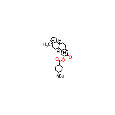 CCCCC1CCC(C(=O)OC2C[C@H]3C(=CC2=O)CC[C@@H]2[C@@H]3CC[C@]3(C)CCC[C@@H]23)CC1